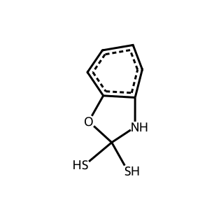 SC1(S)Nc2ccccc2O1